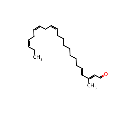 CC/C=C\C/C=C\C/C=C\CCCCCCC/C=C/C(C)=CC=O